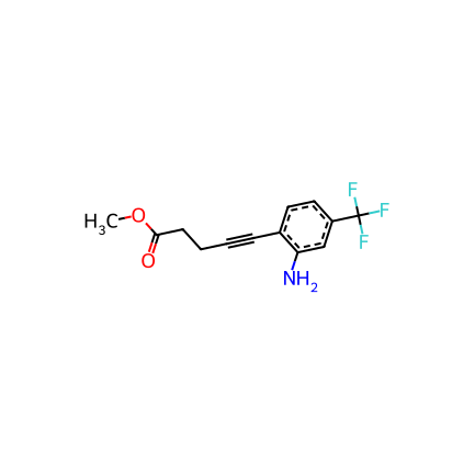 COC(=O)CCC#Cc1ccc(C(F)(F)F)cc1N